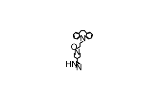 O=C(CCCN1c2ccccc2CCc2ccccc21)N1CCC(c2cnc[nH]2)CC1